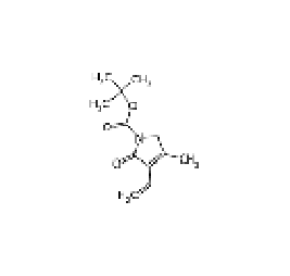 C=CC1=C(C)CN(C(=O)OC(C)(C)C)C1=O